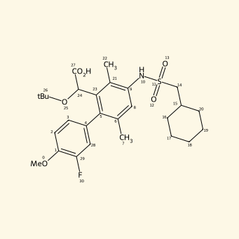 COc1ccc(-c2c(C)cc(NS(=O)(=O)CC3CCCCC3)c(C)c2C(OC(C)(C)C)C(=O)O)cc1F